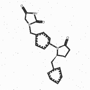 O=C1CN(Cc2ccc(N3C(=O)CC[C@H]3Cc3ccccc3)cc2)C(=O)N1